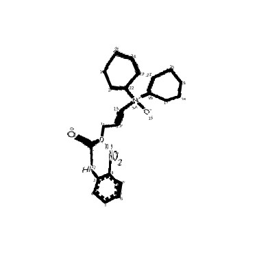 O=C(Nc1ccccc1[N+](=O)[O-])OCC=C[N+]([O-])(C1CCCCC1)C1CCCCC1